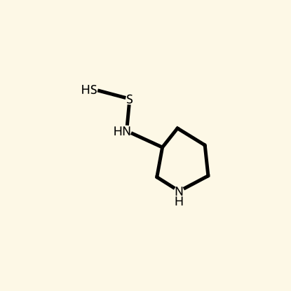 SSNC1CCCNC1